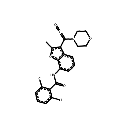 Cc1oc2c(NC(=O)c3c(Cl)cccc3Cl)cccc2c1C(=C=O)N1CCOCC1